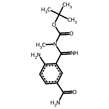 CN(C(=N)c1cc(C(N)=O)ccc1N)C(=O)OC(C)(C)C